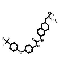 CN(C)CC1CCc2cc(NC(=O)Nc3ccc(Oc4ccc(C(F)(F)F)cc4)cc3)ccc2C1